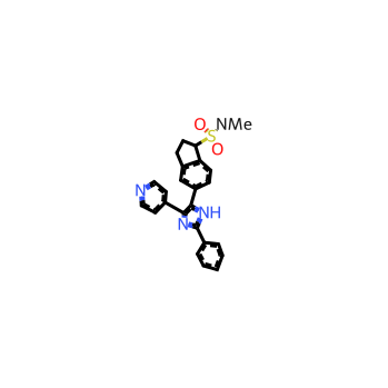 CNS(=O)(=O)C1CCc2cc(-c3[nH]c(-c4ccccc4)nc3-c3ccncc3)ccc21